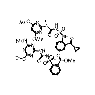 CCOc1nc(NC)nc(NC(=O)NS(=O)(=O)c2ccccc2C(=O)OC)n1.COc1cc(OC)nc(NC(=O)NS(=O)(=O)Nc2ccccc2C(=O)C2CC2)n1